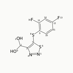 OC(O)c1nnsc1Sc1ccc(F)cc1F